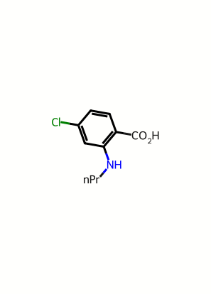 CCCNc1cc(Cl)ccc1C(=O)O